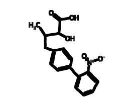 CC(Cc1ccc(-c2ccccc2[N+](=O)[O-])cc1)C(O)C(=O)O